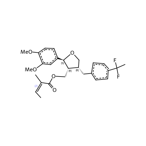 C/C=C(/C)C(=O)OC[C@H]1[C@@H](Cc2ccc(C(C)(F)F)cc2)CO[C@@H]1c1ccc(OC)c(OC)c1